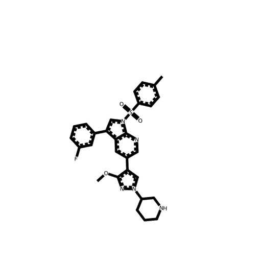 COc1nn(C2CCCNC2)cc1-c1cnc2c(c1)c(-c1cccc(F)c1)cn2S(=O)(=O)c1ccc(C)cc1